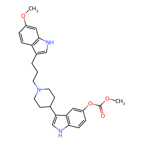 COC(=O)Oc1ccc2[nH]cc(C3CCN(CCCc4c[nH]c5cc(OC)ccc45)CC3)c2c1